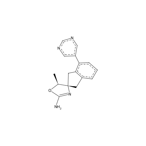 C[C@@H]1OC(N)=N[C@]12Cc1cccc(-c3cncnc3)c1C2